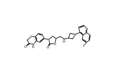 O=C1CSc2ccc(N3CC(CNC4CN(c5ccnc6ccc(F)cc56)C4)OC3=O)cc2N1